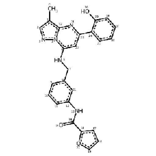 Cc1cnn2c(NCc3cccc(NC(=O)c4ccco4)c3)cc(-c3ccccc3O)nc12